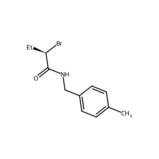 CC[C@@H](Br)C(=O)NCc1ccc(C)cc1